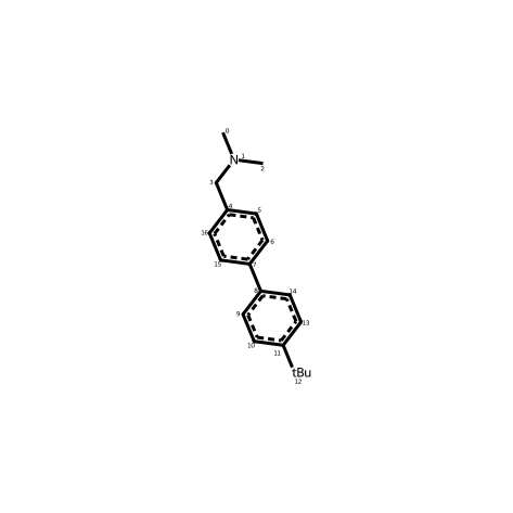 CN(C)Cc1ccc(-c2ccc(C(C)(C)C)cc2)cc1